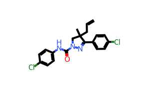 C=CCC1(C)CN(C(=O)Nc2ccc(Cl)cc2)N=C1c1ccc(Cl)cc1